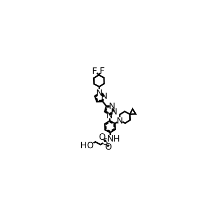 O=S(=O)(CCO)Nc1ccc(-n2cc(-c3ccn(C4CCC(F)(F)CC4)n3)nn2)c(N2CCC3(CC2)CC3)c1